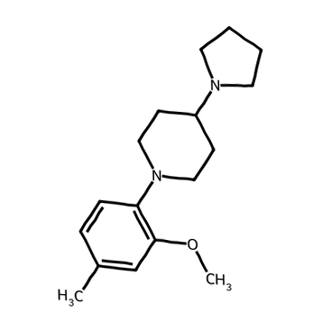 COc1cc(C)ccc1N1CCC(N2CCCC2)CC1